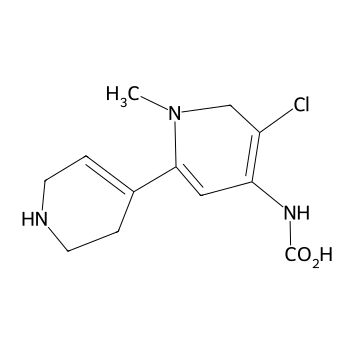 CN1CC(Cl)=C(NC(=O)O)C=C1C1=CCNCC1